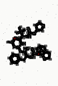 CC(C)CN(C[C@H](O)[C@H](Cc1ccccc1)NC(=O)OC1C2COC3OCC1C3C2)NC(=O)[C@@H](NC(=O)OC1CCOC1)C(C)(C)C